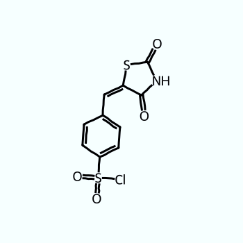 O=C1NC(=O)/C(=C\c2ccc(S(=O)(=O)Cl)cc2)S1